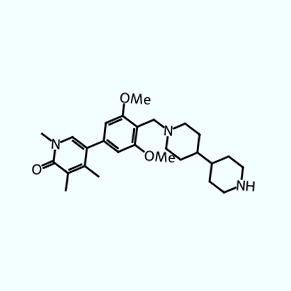 COc1cc(-c2cn(C)c(=O)c(C)c2C)cc(OC)c1CN1CCC(C2CCNCC2)CC1